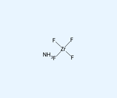 N.[F][Zr]([F])([F])[F]